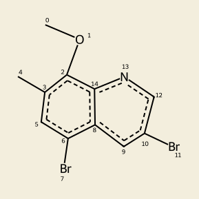 COc1c(C)cc(Br)c2cc(Br)cnc12